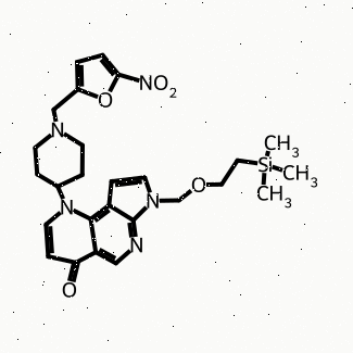 C[Si](C)(C)CCOCn1ccc2c1ncc1c(=O)ccn(C3CCN(Cc4ccc([N+](=O)[O-])o4)CC3)c12